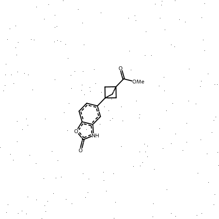 COC(=O)C12CC(c3ccc4oc(=O)[nH]c4c3)(C1)C2